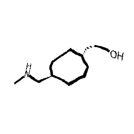 CNC[C@H]1CC[C@H](CO)CC1